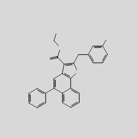 CCOC(=O)c1c(Cc2cccc(Cl)c2)[nH]c2c1cc(-c1ccccc1)c1ccccc12